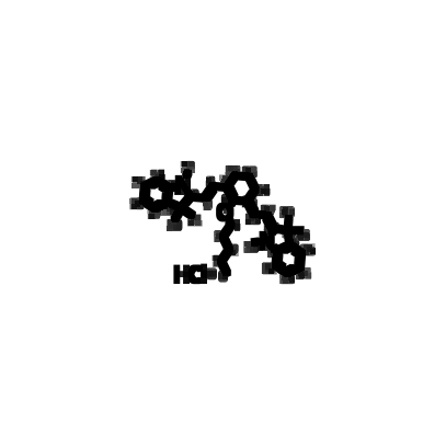 CCCCCOC1=C(C=CC2N(C)c3ccccc3C2(C)C)CCCC1=CC=C1N(C)c2ccccc2C1(C)C.Cl